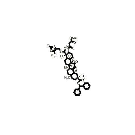 CC[C@@]12CC[C@@]3(C)CC[C@](C)(C(=O)OC(c4ccccc4)c4ccccc4)C[C@H]3C1=CC(=O)[C@@H]1[C@@]3(C)CC[C@H](NC(=O)CC(=O)OC)[C@@](C)(C(=O)OCc4oc(=O)oc4C)C3CC[C@]12C